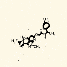 Cc1ccc(C(C)NC(=O)COc2cc(C)c3c(-c4cnc(C)n4C)nn(C)c3n2)cc1